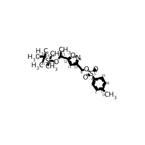 Cc1ccc(S(=O)(=O)OCc2cc(C(C)O[Si](C)(C)C(C)(C)C)on2)cc1